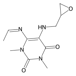 C/C=N\c1c(NCC2CO2)c(=O)n(C)c(=O)n1C